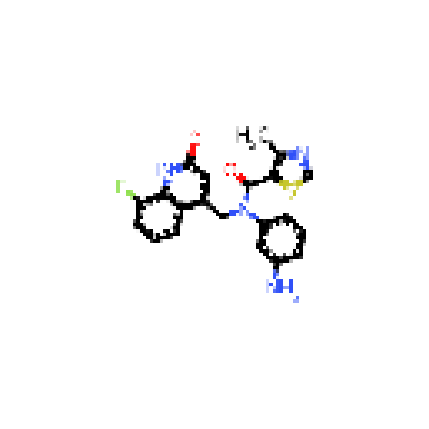 Cc1ncsc1C(=O)N(Cc1cc(=O)[nH]c2c(F)cccc12)c1cccc(N)c1